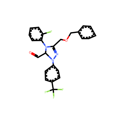 O=CC1N(c2ccc(C(F)(F)F)cc2)N=C(COCc2ccccc2)N1c1ccccc1F